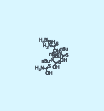 CCCCN(CCCC)C(O)=S.CCCCN(CCCC)C(O)=S.NC(O)=S.NC(O)=S.[BiH3].[BiH3]